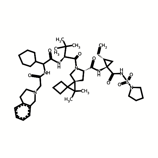 C=C[C@@H]1C[C@]1(NC(=O)[C@@H]1C[C@@]2(CN1C(=O)[C@@H](NC(=O)C(NC(=O)CN1CCc3ccccc3C1)C1CCCCC1)C(C)(C)C)C(C)(C)C21CCC1)C(=O)NS(=O)(=O)N1CCCC1